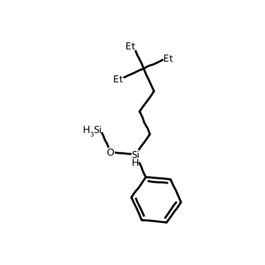 CCC(CC)(CC)CCC[SiH](O[SiH3])c1ccccc1